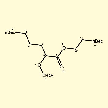 CCCCCCCCCCCCCC(O[C]=O)C(=O)OCCCCCCCCCCCC